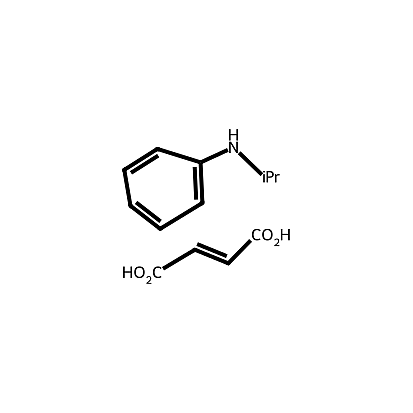 CC(C)Nc1ccccc1.O=C(O)/C=C/C(=O)O